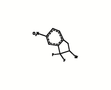 O=[N+]([O-])c1ccc2c(c1)C(F)(F)C(Br)C2